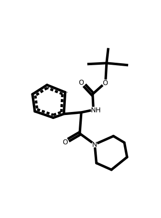 CC(C)(C)OC(=O)NC(C(=O)N1CCCCC1)c1[c]cccc1